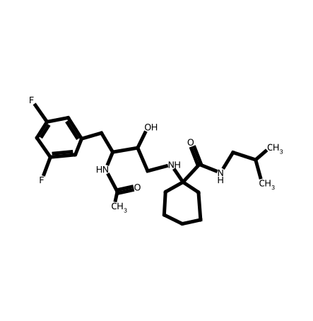 CC(=O)NC(Cc1cc(F)cc(F)c1)C(O)CNC1(C(=O)NCC(C)C)CCCCC1